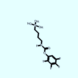 O=C(Oc1cc(F)c(F)c(F)c1F)N(F)CCCC[Si](O)(O)O